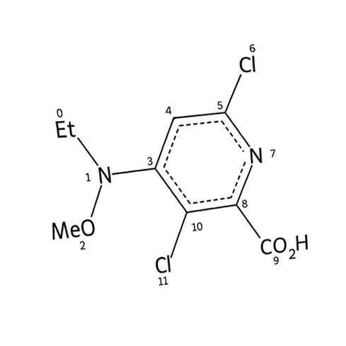 CCN(OC)c1cc(Cl)nc(C(=O)O)c1Cl